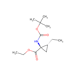 CCOC(=O)[C@@]1(NC(=O)OC(C)(C)C)C[C@H]1CC